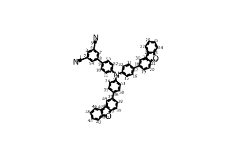 N#Cc1cc(C#N)cc(-c2ccc(N(c3ccc(-c4ccc5oc6ccccc6c5c4)cc3)c3ccc(-c4ccc5oc6ccccc6c5c4)cc3)cc2)c1